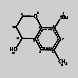 Cc1cc2c(c(C(C)(C)C)c1)OCCC2O